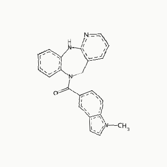 Cn1ccc2cc(C(=O)N3Cc4cccnc4Nc4ccccc43)ccc21